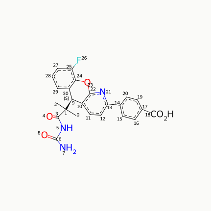 CC(C)(C(=O)NC(N)=O)[C@@H]1c2ccc(-c3ccc(C(=O)O)cc3)nc2Oc2c(F)cccc21